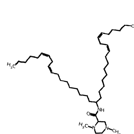 CCCCC/C=C\C/C=C\CCCCCCCCC(CCCCCCCC/C=C\C/C=C\CCCCC)NC(=O)C1CN(C)CCN1C